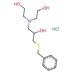 Cl.OCCN(CCO)CC(O)CSCc1ccccc1